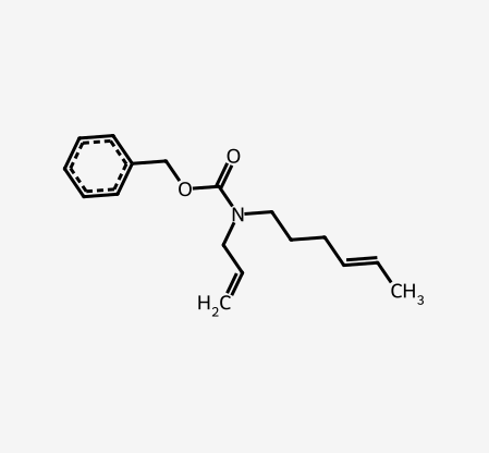 C=CCN(CCCC=CC)C(=O)OCc1ccccc1